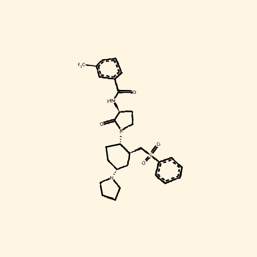 O=C(N[C@H]1CCN([C@H]2CC[C@@H](N3CCCC3)C[C@@H]2CS(=O)(=O)c2ccccc2)C1=O)c1cccc(C(F)(F)F)c1